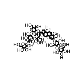 CC(C)(O)C1CC[C@H]([C@H]2CC[C@@]3(C)C4CC=C5C(CC[C@H](OC6OC(CO)C(OC7OC(CO)C(O)C(O)C7O)C(O)C6O)C5(C)C)[C@]4(C)CC[C@]23C)OC2C(O)C(CO)OC(OC3C(OC(COC4OC(CO)C(O)C(O)C4O)C(O)C3O)O1)C2O